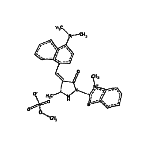 CC1NN(c2sc3ccccc3[n+]2C)C(=O)C1=Cc1ccc(N(C)C)c2ccccc12.COS(=O)(=O)[O-]